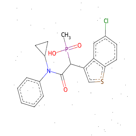 CP(=O)(O)C(C(=O)N(c1ccccc1)C1CC1)c1csc2ccc(Cl)cc12